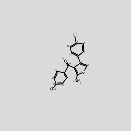 Nc1scc(-c2ccc(F)cc2)c1C(=O)c1ccc(Cl)cc1